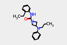 CCCN(c1ccccc1)C1CN(C(=O)Nc2ccccc2CC)C1